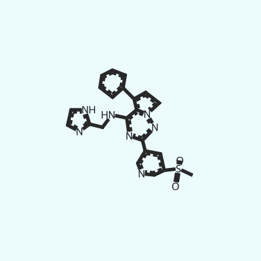 CS(=O)(=O)c1cncc(-c2nc(NCc3ncc[nH]3)c3c(-c4ccccc4)ccn3n2)c1